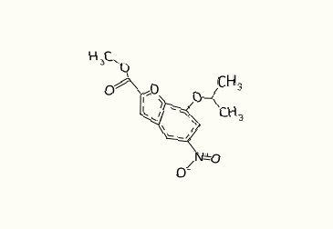 COC(=O)c1cc2cc([N+](=O)[O-])cc(OC(C)C)c2o1